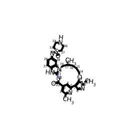 Cc1cc2cc(n1)-c1cnn(C)c1OCCC[C@@H](C)CN1/C(=N/C2=O)Nc2ccc(N=S3(=O)CCNCC3)cc21